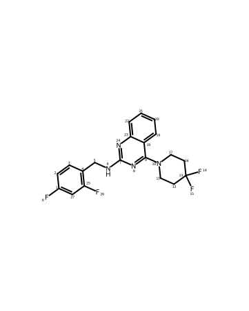 Fc1ccc(CNc2nc(N3CCC(F)(F)CC3)c3ccccc3n2)c(F)c1